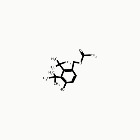 CC(=O)OCc1ccc(O)c(C(C)(C)C)c1C(C)(C)C